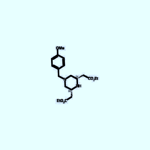 CCOC(=O)C[C@@H]1CN(Cc2ccc(OC)cc2)C[C@H](CC(=O)OCC)N1